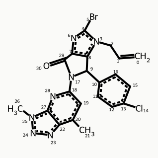 C=CCn1c(Br)nc2c1C(c1ccc(Cl)cc1)N(c1cc(C)c3nnn(C)c3n1)C2=O